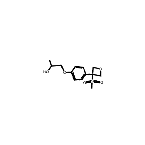 CC(O)COc1ccc(C2(S(C)(=O)=O)COC2)cc1